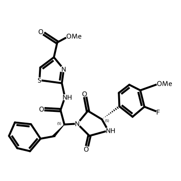 COC(=O)c1csc(NC(=O)[C@H](Cc2ccccc2)N2C(=O)N[C@@H](c3ccc(OC)c(F)c3)C2=O)n1